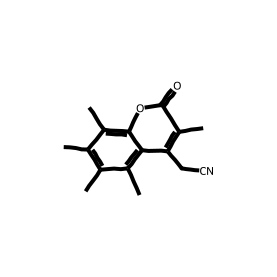 Cc1c(C)c(C)c2c(CC#N)c(C)c(=O)oc2c1C